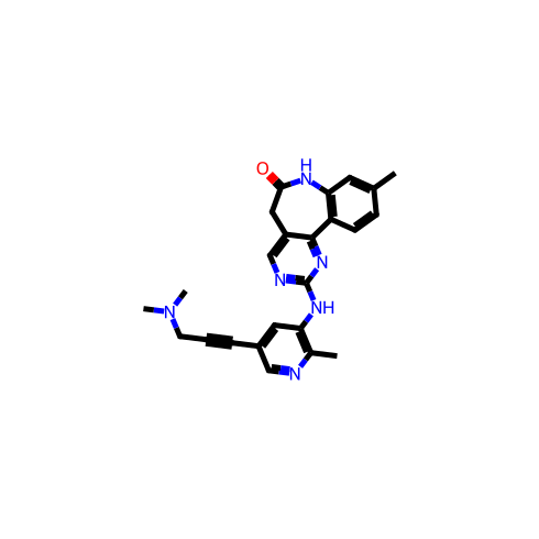 Cc1ccc2c(c1)NC(=O)Cc1cnc(Nc3cc(C#CCN(C)C)cnc3C)nc1-2